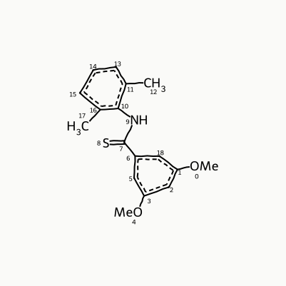 COc1cc(OC)cc(C(=S)Nc2c(C)cccc2C)c1